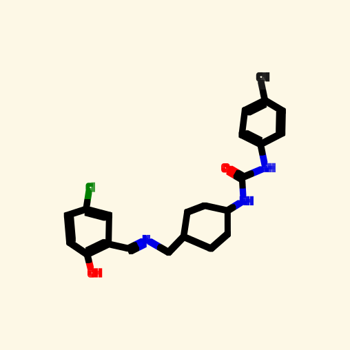 N#Cc1ccc(NC(=O)NC2CCC(CN=Cc3cc(Cl)ccc3O)CC2)cc1